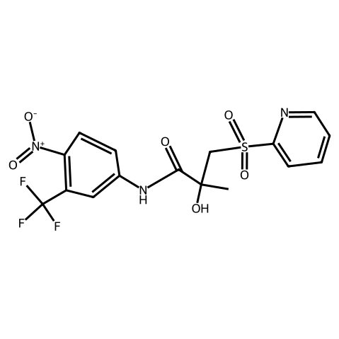 CC(O)(CS(=O)(=O)c1ccccn1)C(=O)Nc1ccc([N+](=O)[O-])c(C(F)(F)F)c1